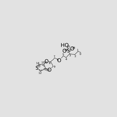 CCCC(CCOCC1COc2cscc2O1)S(=O)(=O)O